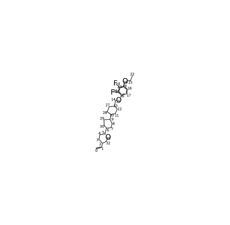 C=CC1CCC(C2CCC(C3CCC(COc4ccc(OCC)c(F)c4F)CC3)CC2)OC1